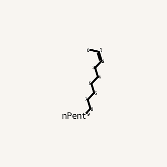 C/[C]=C\CCCCCCCCCCC